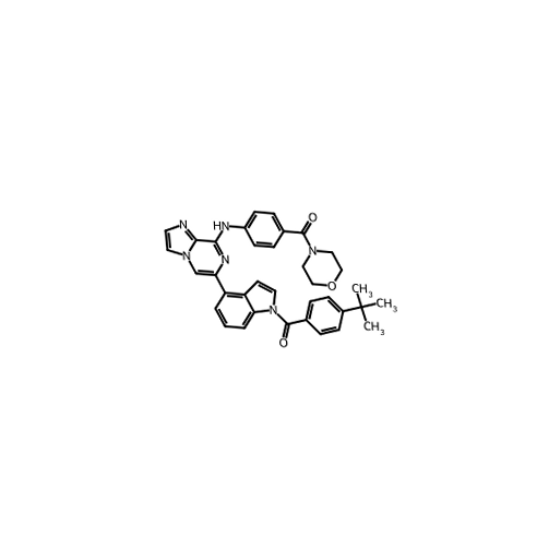 CC(C)(C)c1ccc(C(=O)n2ccc3c(-c4cn5ccnc5c(Nc5ccc(C(=O)N6CCOCC6)cc5)n4)cccc32)cc1